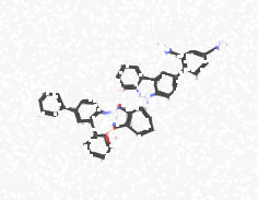 N#Cc1ccc(-c2ccc3c(c2)c2ccccc2n3-c2cccc3c2C(=O)N(c2ccc(-c4ccccc4)cc2-c2ccccc2)C3=O)c(C#N)c1